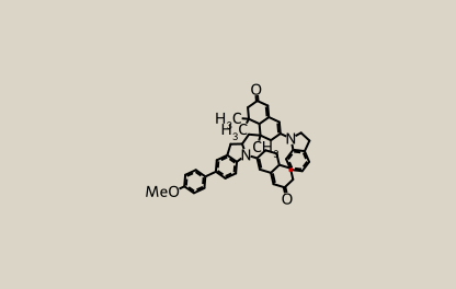 COc1ccc(-c2ccc3c(c2)CC(CC2(C)CC(N4CCc5ccccc54)=CC4=CC(=O)CC(C)(C)C42)N3C2=CC3=CC(=O)CCC3CC2)cc1